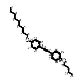 CCCCCCC=CCOc1ccc(C#Cc2ccc(OCCCC)cc2)cc1